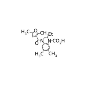 CCC1CN(C(=O)c2cc(C)oc2C)c2cc(C)c(C)cc2N1C(=O)O